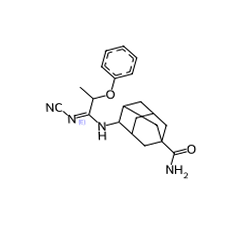 CC(Oc1ccccc1)/C(=N\C#N)NC1C2CC3CC1CC(C(N)=O)(C3)C2